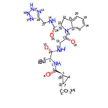 CCC(C)C(NC(=O)[C@H]1C[C@@H]1C(=O)O)C(=O)NCC(=O)N1c2ccccc2C[C@H]1C(=O)NCc1nn[nH]n1